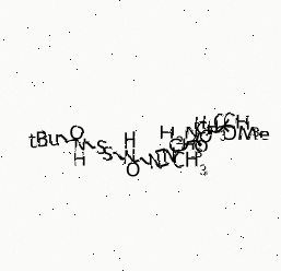 COC(C)(C)CCOC(C)(N)C(=O)CCC(C)(C)N1CCN(CCC(=O)NCCSSCCNC(=O)CCC(C)(C)C)CC1